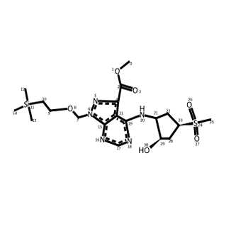 COC(=O)c1nn(COCC[Si](C)(C)C)c2ncnc(NC3C[C@@H](S(C)(=O)=O)C[C@H]3O)c12